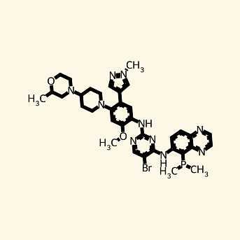 COc1cc(N2CCC(N3CCOC(C)C3)CC2)c(-c2cnn(C)c2)cc1Nc1ncc(Br)c(Nc2ccc3nccnc3c2P(C)C)n1